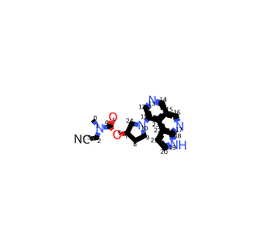 CN(CC#N)C(=O)OC1CCN(c2cncc3cnc4[nH]ccc4c23)C1